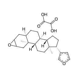 C[C@]12CC3OC3C[C@H]1CC[C@@H]1[C@@H]2CC[C@]2(C)[C@@H](c3ccoc3)CC[C@@H]12.O=C(O)C(=O)O